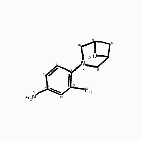 Nc1ccc(N2CC3CC(C2)O3)c(F)c1